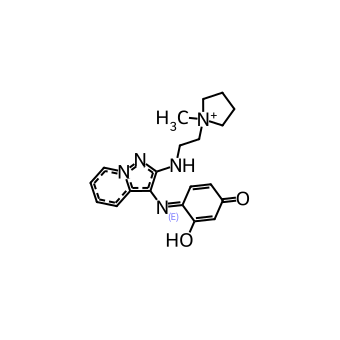 C[N+]1(CCNc2nn3ccccc3c2/N=C2\C=CC(=O)C=C2O)CCCC1